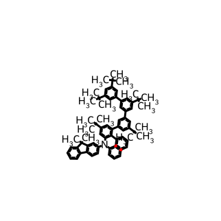 CC(C)(C)c1cc(-c2cc(-c3cc(C(C)(C)C)cc(N(c4ccccc4)c4ccc5c(c4)C(C)(C)c4ccccc4-5)c3-c3ccccc3)cc(C(C)(C)C)c2)cc(-c2cc(C(C)(C)C)cc(C(C)(C)C)c2)c1